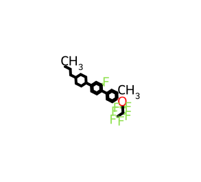 CCCCC1CCC(c2ccc(-c3ccc(OC(F)(F)C(F)C(F)(F)F)c(C)c3)c(F)c2)CC1